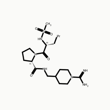 CC(C)C[C@@H](NS(C)(=O)=O)C(=O)N1CCC[C@H]1C(=O)NCC1CCN(C(=N)N)CC1